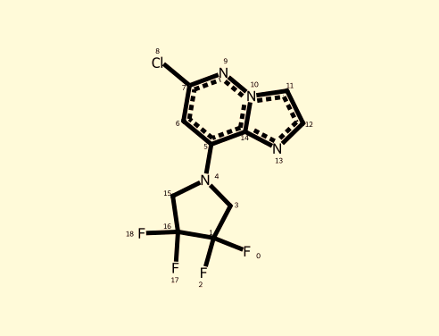 FC1(F)CN(c2cc(Cl)nn3ccnc23)CC1(F)F